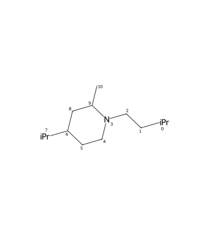 CC(C)CCN1CCC(C(C)C)CC1C